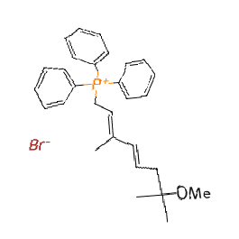 COC(C)(C)C/C=C/C(C)=C/C[P+](c1ccccc1)(c1ccccc1)c1ccccc1.[Br-]